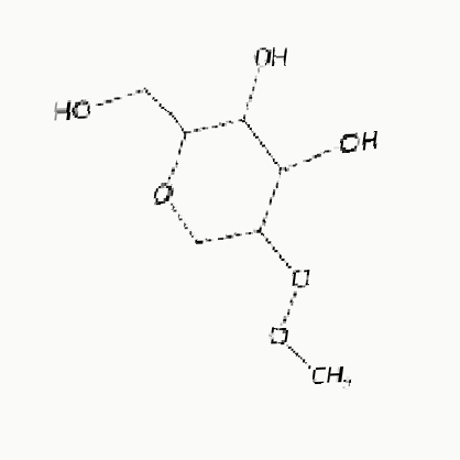 COOC1COC(CO)C(O)C1O